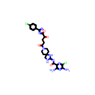 Nc1nc(N)c(C(=O)/N=C2\NCC3(CCN(C(=O)CCC(=O)c4nc(-c5ccc(Cl)cc5)no4)CC3)N2)nc1Cl